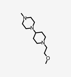 COCCN1CCC(N2CCN(C)CC2)CC1